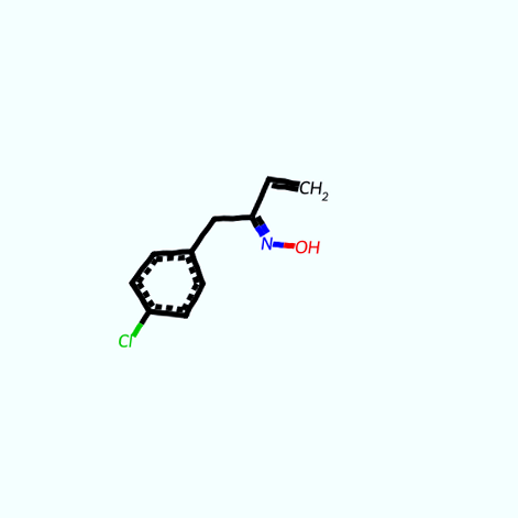 C=CC(Cc1ccc(Cl)cc1)=NO